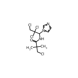 CC(C)(CCl)C(=O)NC(n1ccnc1)C(Cl)(Cl)CCl